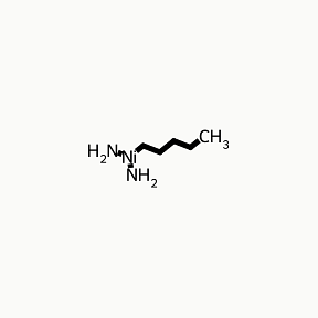 CCCC[CH2][Ni]([NH2])[NH2]